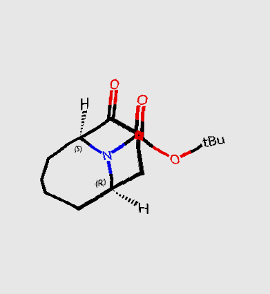 CC(C)(C)OC(=O)N1[C@@H]2CCC[C@H]1C(=O)CC2